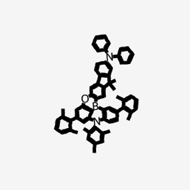 Cc1cc(C)c(N2c3ccc(-c4c(C)cccc4C)cc3B3c4cc5c(cc4Oc4cc(-c6c(C)cccc6C)cc2c43)-c2ccc(N(c3ccccc3)c3ccccc3)cc2C5(C)C)c(C)c1